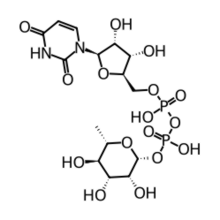 C[C@@H]1O[C@H](OP(=O)(O)OP(=O)(O)OC[C@H]2O[C@@H](n3ccc(=O)[nH]c3=O)[C@H](O)[C@@H]2O)[C@H](O)[C@H](O)[C@H]1O